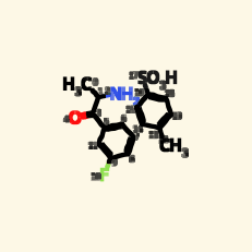 CC(N)C(=O)c1cccc(F)c1.Cc1ccc(S(=O)(=O)O)cc1